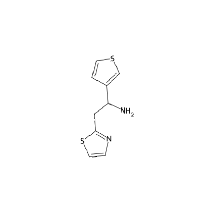 NC(Cc1nccs1)c1ccsc1